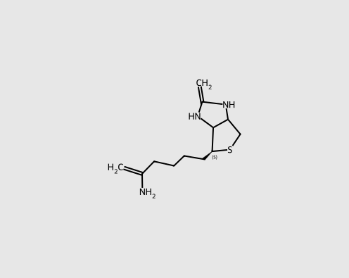 C=C(N)CCCC[C@@H]1SCC2NC(=C)NC21